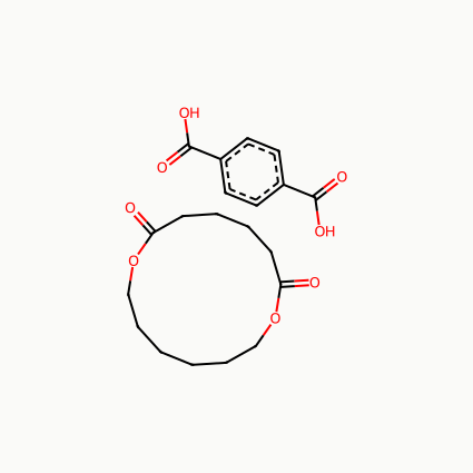 O=C(O)c1ccc(C(=O)O)cc1.O=C1CCCCC(=O)OCCCCCCO1